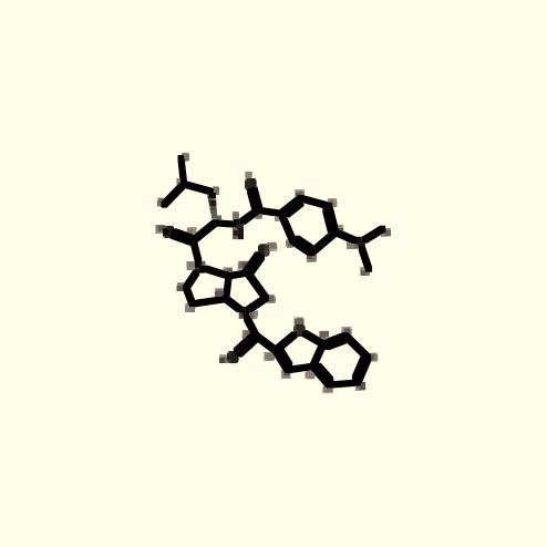 CC(C)C[C@H](NC(=O)c1ccc(N(C)C)cc1)C(=O)N1CCC2C1C(=O)CN2C(=O)c1cc2ccccc2o1